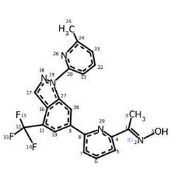 C/C(=N\O)c1cccc(-c2cc(C(F)(F)F)c3cnn(-c4cccc(C)n4)c3c2)n1